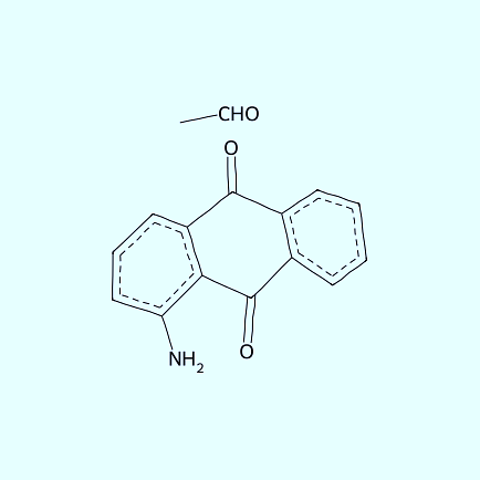 CC=O.Nc1cccc2c1C(=O)c1ccccc1C2=O